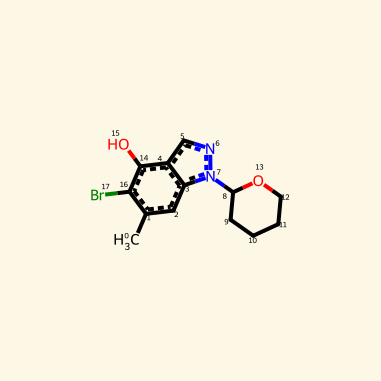 Cc1cc2c(cnn2C2CCCCO2)c(O)c1Br